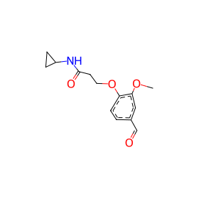 COc1cc(C=O)ccc1OCCC(=O)NC1CC1